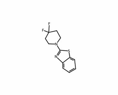 FC1(F)CCN(c2nc3ccccc3s2)CC1